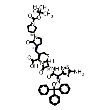 CC(C)(C)OC(=O)N1CC[C@@H](N2CC/C(=C\C3=C(C(=O)O)N4C(=O)[C@@H](NC(=O)/C(=N\OC(c5ccccc5)(c5ccccc5)c5ccccc5)c5nsc(N)n5)[C@H]4SC3)C2=O)C1